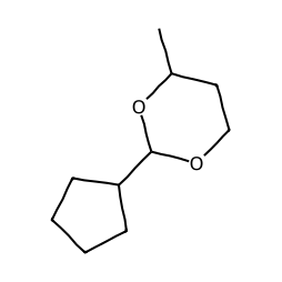 CC1CCOC(C2CCCC2)O1